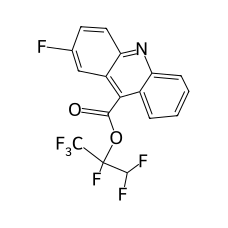 O=C(OC(F)(C(F)F)C(F)(F)F)c1c2ccccc2nc2ccc(F)cc12